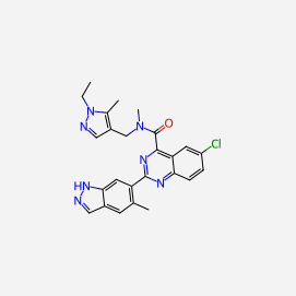 CCn1ncc(CN(C)C(=O)c2nc(-c3cc4[nH]ncc4cc3C)nc3ccc(Cl)cc23)c1C